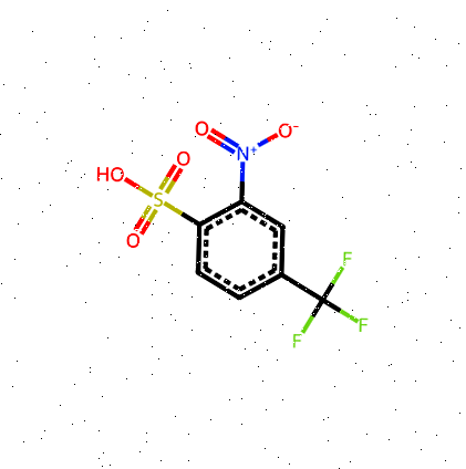 O=[N+]([O-])c1cc(C(F)(F)F)ccc1S(=O)(=O)O